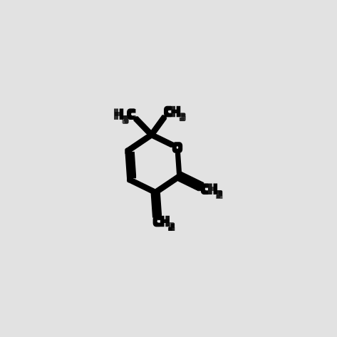 C=C1C=CC(C)(C)OC1=C